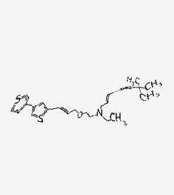 CCN(C/C=C/C#CC(C)(C)C)CCOC/C=C/c1cc(-c2ccsc2)cs1